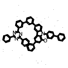 c1ccc(-c2ccc3c(c2)Oc2cc(-c4ccccc4)cc4c5cc(-c6cccc(-c7cccc(-c8nc(-c9ccccc9)nc(-c9ccccc9)n8)c7)c6)ccc5n-3c24)cc1